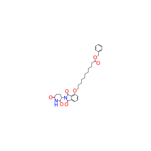 O=C1CCC(N2C(=O)c3cccc(OCCCCCCCCCCC(=O)OCc4ccccc4)c3C2=O)C(=O)N1